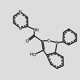 O=C(Nc1cnccn1)C1=C(O)c2ccccc2N(c2ccccc2)C1